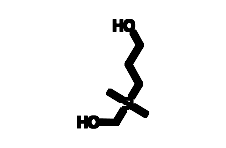 C[Si](C)(CO)CCCO